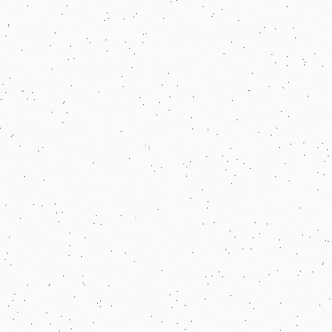 COC1CNCCN1.Cl